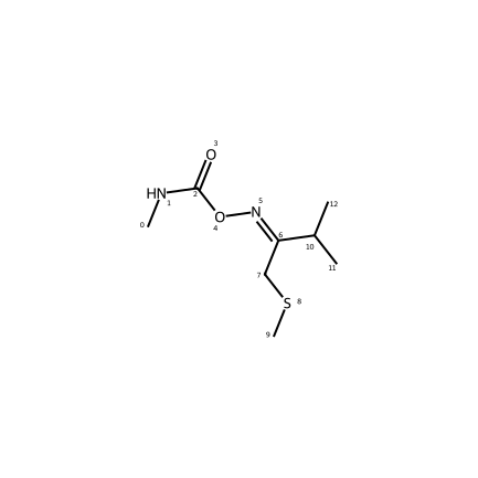 CNC(=O)ON=C(CSC)C(C)C